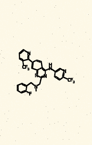 CN(Cc1nc(Nc2ccc(C(F)(F)F)nc2)c2ccc(-c3ncccc3C(F)(F)F)cc2n1)Cc1ccccc1F